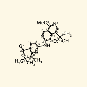 CC[C@@](C)(O)c1cnc(OC)c2cnc(Nc3ccc4c(n3)[C@@H](C)C(C)(C)OC4=O)cc12